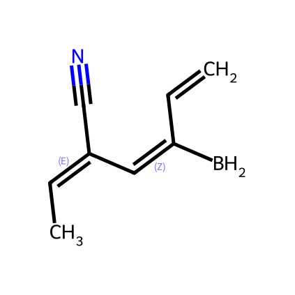 B/C(C=C)=C/C(C#N)=C\C